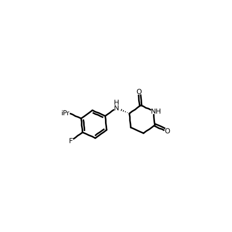 CC(C)c1cc(N[C@H]2CCC(=O)NC2=O)ccc1F